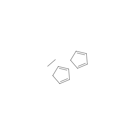 C1=CCC=C1.C1=CCC=C1.CC